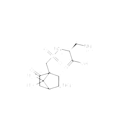 CC1(C)C2CCC1(CS(=O)(=O)N[C@@H](CN)C(=O)O)C(=O)C2.Cl